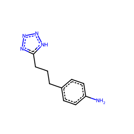 Nc1ccc(CCCc2nnn[nH]2)cc1